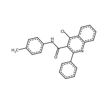 Cc1ccc(NC(=O)c2c(-c3ccccc3)nc3ccccc3c2Cl)cc1